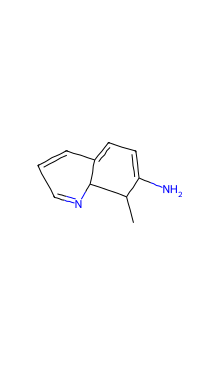 CC1C(N)=CC=C2C=CC=NC21